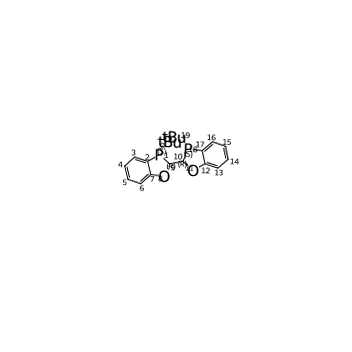 CC(C)(C)[P@]1c2ccccc2O[C@H]1[C@@H]1Oc2ccccc2[P@@]1C(C)(C)C